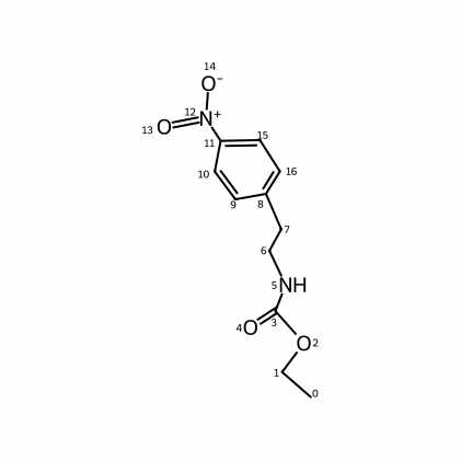 CCOC(=O)NCCc1ccc([N+](=O)[O-])cc1